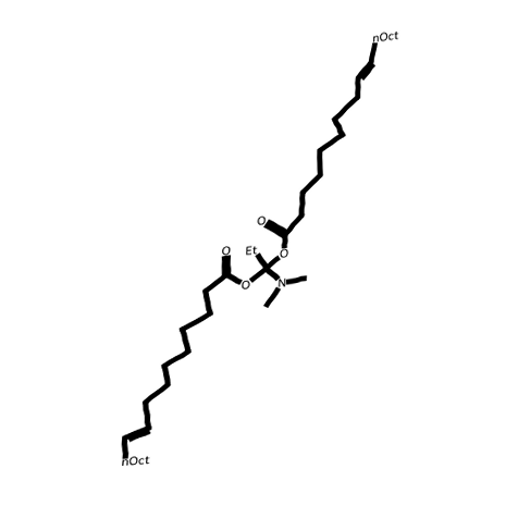 CCCCCCCCC=CCCCCCCCC(=O)OC(CC)(OC(=O)CCCCCCCC=CCCCCCCCC)N(C)C